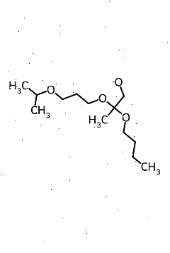 CCCCOC(C)(C[O])OCCCOC(C)C